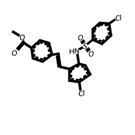 COC(=O)c1ccc(C=Cc2cc(Cl)ccc2NS(=O)(=O)c2ccc(Cl)cc2)cc1